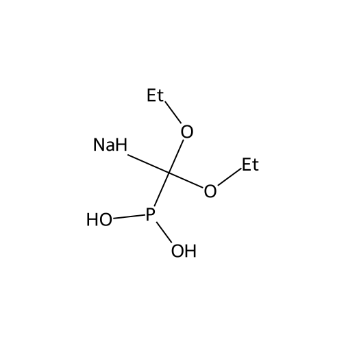 CCOC(C)(OCC)P(O)O.[NaH]